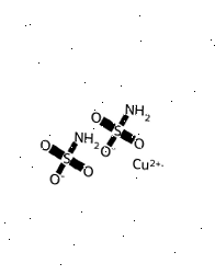 NS(=O)(=O)[O-].NS(=O)(=O)[O-].[Cu+2]